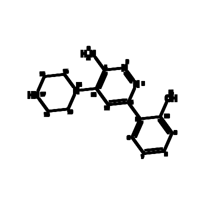 Nc1nnc(-c2ccccc2O)cc1N1CCNCC1